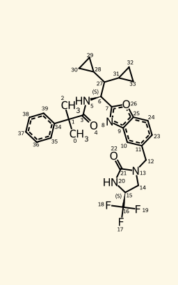 CC(C)(C(=O)N[C@H](c1nc2cc(CN3C[C@@H](C(F)(F)F)NC3=O)ccc2o1)C(C1CC1)C1CC1)c1ccccc1